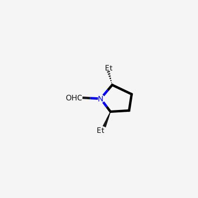 CC[C@@H]1CC[C@@H](CC)N1C=O